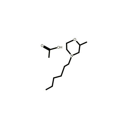 CC(=O)O.CCCCCCN1CCOC(C)C1